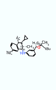 CC(=O)C1c2ccc(C#N)cc2[C@H](Nc2cccc(CO[Si](C)(C)C(C)(C)C)c2)[C@@H](C)[C@@H]1C1CC1